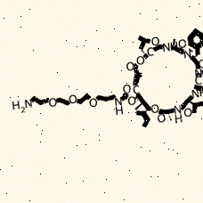 C/C=C(\C)[C@H]1OC(=O)[C@@H](C)NC(=O)[C@H](C(C)CC)NC(=O)CN(C)C(=O)[C@@H](Cc2ccccc2)N(C)C(=O)[C@H](C)NC(=O)C[C@@H](CC(C)C)OC(=O)/C(C)=C/C[C@H](OC(=O)NCCCOCCOCCOCCCN)[C@@H]1C